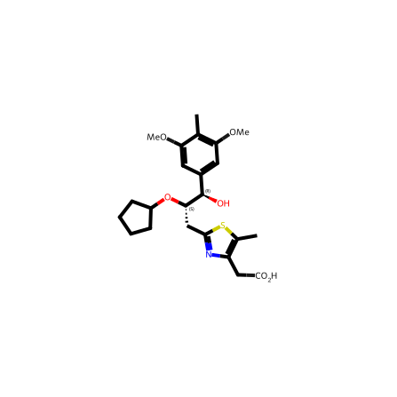 COc1cc([C@@H](O)[C@H](Cc2nc(CC(=O)O)c(C)s2)OC2CCCC2)cc(OC)c1C